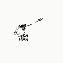 CC[C@H]1OC(=O)[C@H](C)C[C@H](C)[C@@H](O[C@@H]2O[C@H](C)C[C@H](N(C)C)[C@H]2O)[C@](C)(O)C[C@@H](C)CN(C(=O)CCCCCCCCCCC[PH](C)(C)C)[C@H](C)[C@@H](O)[C@]1(C)O